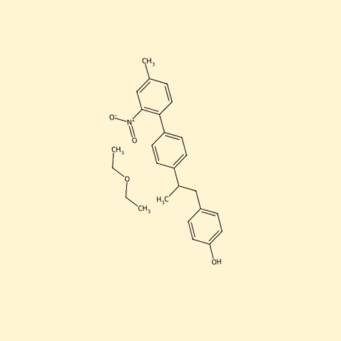 CCOCC.Cc1ccc(-c2ccc(C(C)Cc3ccc(O)cc3)cc2)c([N+](=O)[O-])c1